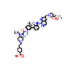 Cc1c(Nc2nccc3cc(CN4CCC(C)(O)C4)cnc23)cccc1-c1cccc(N(Cl)C(=O)c2nc3c(n2C)CCN(CCC2CCC(C(=O)O)CC2)C3)c1